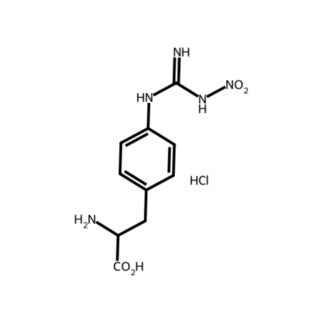 Cl.N=C(Nc1ccc(CC(N)C(=O)O)cc1)N[N+](=O)[O-]